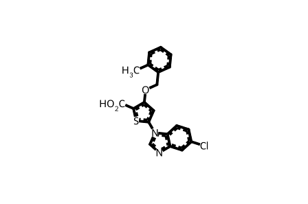 Cc1ccccc1COc1cc(-n2cnc3cc(Cl)ccc32)sc1C(=O)O